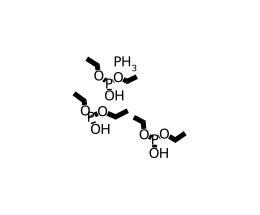 CCOP(O)OCC.CCOP(O)OCC.CCOP(O)OCC.P